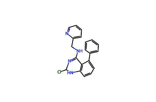 ClC1N=C(NCc2ccccn2)c2c(cccc2-c2ccccc2)N1